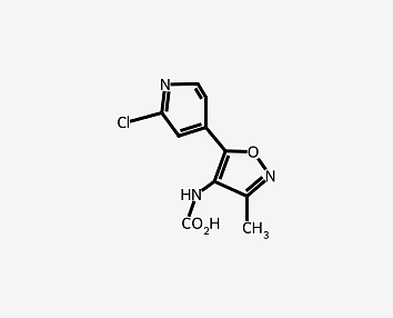 Cc1noc(-c2ccnc(Cl)c2)c1NC(=O)O